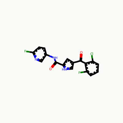 O=C(Nc1ccc(F)nc1)c1cc(C(=O)c2c(F)cccc2Cl)c[nH]1